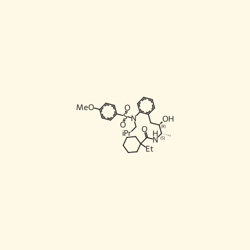 CCC1(C(=O)N[C@@H](C)[C@H](O)Cc2ccccc2N(CC(C)C)S(=O)(=O)c2ccc(OC)cc2)CCCCC1